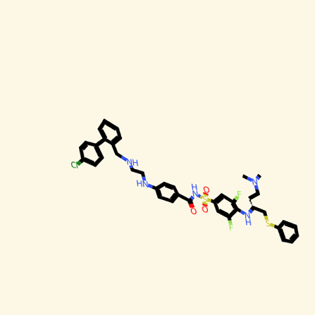 CN(C)CC[C@H](CSc1ccccc1)Nc1c(F)cc(S(=O)(=O)NC(=O)c2ccc(NCCNCc3ccccc3-c3ccc(Cl)cc3)cc2)cc1F